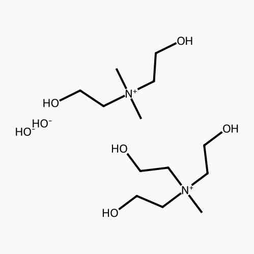 C[N+](C)(CCO)CCO.C[N+](CCO)(CCO)CCO.[OH-].[OH-]